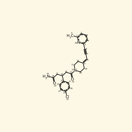 Cc1cccc(C#CC=C2CCN(C(=O)CC(CC(N)=O)c3ccc(Cl)cc3)CC2)n1